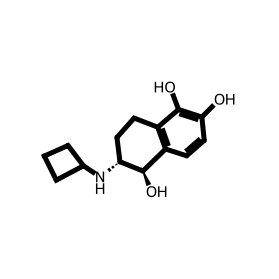 Oc1ccc2c(c1O)CC[C@@H](NC1CCC1)[C@@H]2O